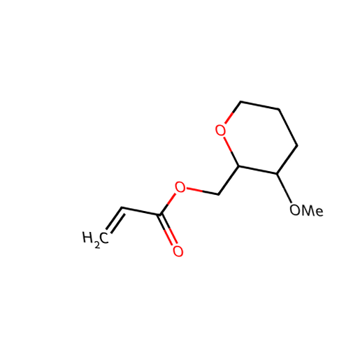 C=CC(=O)OCC1OCCCC1OC